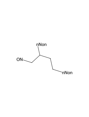 CCCCCCCCCCCC(CCCCCCCCC)CN=O